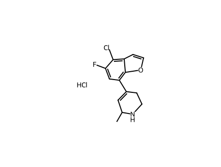 CC1C=C(c2cc(F)c(Cl)c3ccoc23)CCN1.Cl